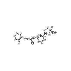 Cc1ccccc1C#CC(=O)Oc1cccc(N2CCC(C)(O)C2)n1